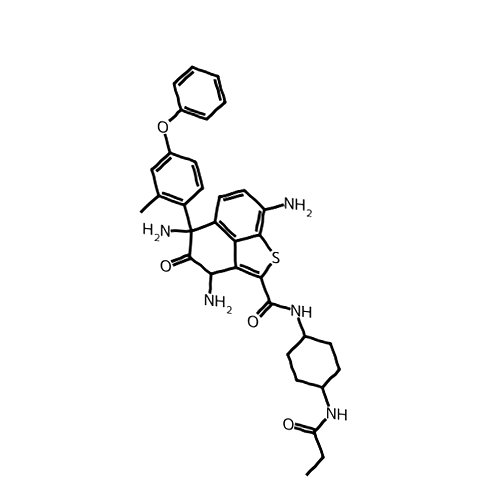 CCC(=O)NC1CCC(NC(=O)c2sc3c(N)ccc4c3c2C(N)C(=O)C4(N)c2ccc(Oc3ccccc3)cc2C)CC1